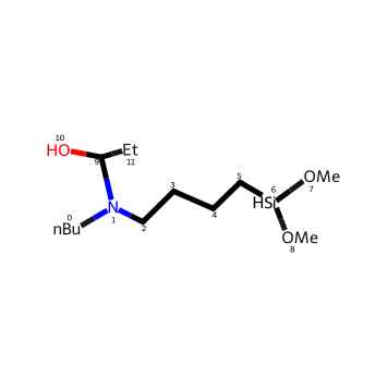 CCCCN(CCCC[SiH](OC)OC)C(O)CC